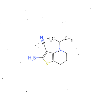 CC(C)N1CCCc2sc(N)c(C#N)c21